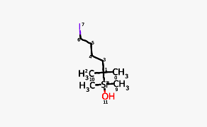 CC(C)(CCCCI)[Si](C)(C)O